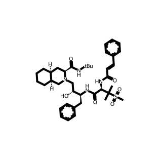 CC(C)(C)NC(=O)[C@@H]1C[C@@H]2CCCC[C@@H]2CN1C[C@@H](O)[C@H](Cc1ccccc1)NC(=O)[C@@H](NC(=O)/C=C/c1ccccc1)C(C)(C)S(C)(=O)=O